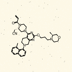 C=CC(=O)N1CCN(c2nc(OCCCN3CCOC[C@@H]3C)nc3c2CCN(c2cccc4cccc(C)c24)C3)C[C@@H]1CC#N